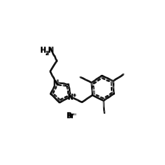 Cc1cc(C)c(C[n+]2ccn(CCN)c2)c(C)c1.[Br-]